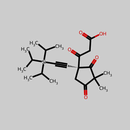 CC(C)[Si](C#C[C@@]1(C(=O)CC(=O)O)CC(=O)C(C)(C)C1=O)(C(C)C)C(C)C